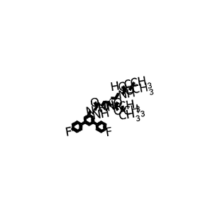 CC(C)(C)OC(=O)NCCC[C@@H](CNC(=O)c1nc2cc(-c3ccc(F)cc3)cc(-c3ccc(F)cc3)c2[nH]1)NC(=O)OC(C)(C)C